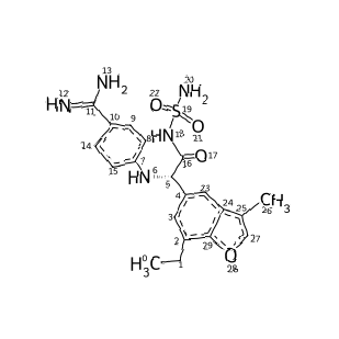 CCc1cc([C@H](Nc2ccc(C(=N)N)cc2)C(=O)NS(N)(=O)=O)cc2c(C)coc12